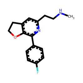 CNCCc1cc2c(c(-c3ccc(F)cc3)n1)OCC2